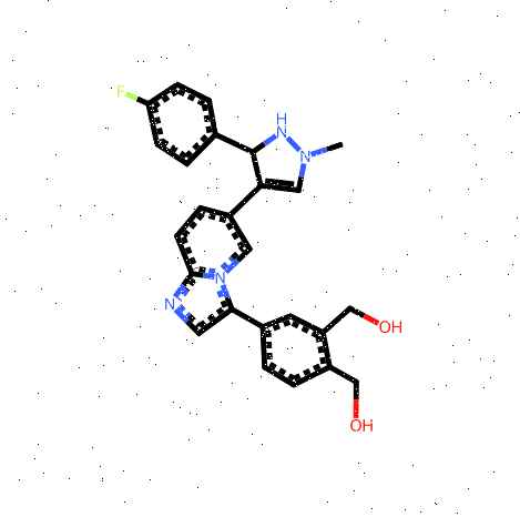 CN1C=C(c2ccc3ncc(-c4ccc(CO)c(CO)c4)n3c2)C(c2ccc(F)cc2)N1